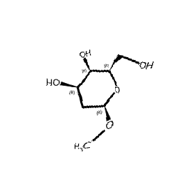 CO[C@H]1C[C@@H](O)[C@@H](O)[C@@H](CO)O1